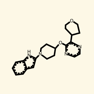 c1ccc2[nH]c(N3CCC(Oc4nccnc4C4CCOCC4)CC3)cc2c1